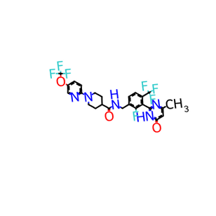 Cc1cc(=O)[nH]c(-c2c(C(F)(F)F)ccc(CNC(=O)C3CCN(c4ccc(OC(F)(F)F)cn4)CC3)c2F)n1